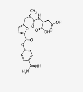 CN(Cc1ccc(C(=O)Oc2ccc(C(=N)N)cc2)o1)C(=O)N[C@@H](CC(=O)O)C(=O)O